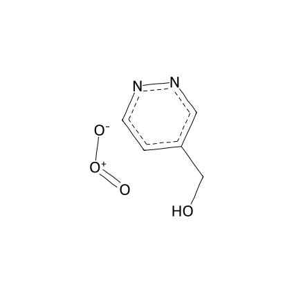 O=[O+][O-].OCc1ccnnc1